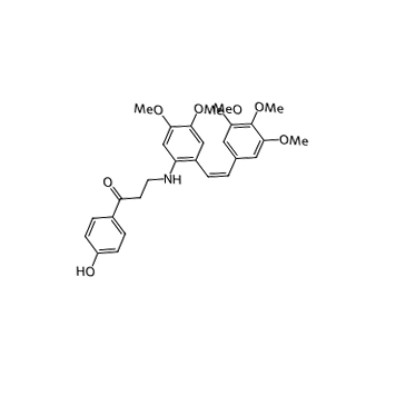 COc1cc(/C=C\c2cc(OC)c(OC)c(OC)c2)c(NCCC(=O)c2ccc(O)cc2)cc1OC